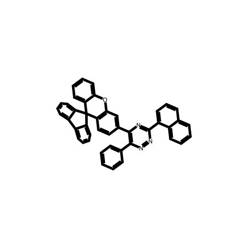 c1ccc(-c2nnc(-c3cccc4ccccc34)nc2-c2ccc3c(c2)Oc2ccccc2C32c3ccccc3-c3ccccc32)cc1